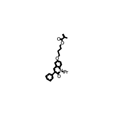 C=C(C)C(=O)OCCCCOc1ccc2c(c1)cc(-c1ccccc1)c(=O)n2C(C)C